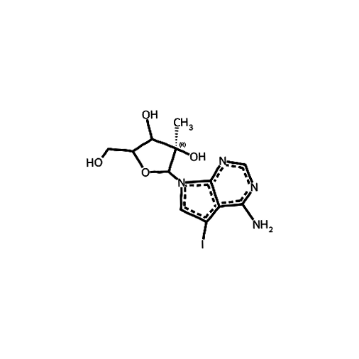 C[C@@]1(O)C(O)C(CO)OC1n1cc(I)c2c(N)ncnc21